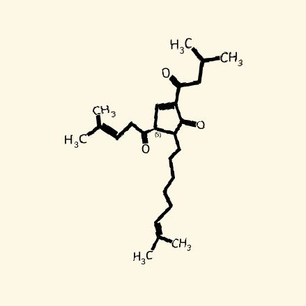 CC(C)=CCCCCCC1C(=O)C(C(=O)CC(C)C)=C[C@@H]1C(=O)CC=C(C)C